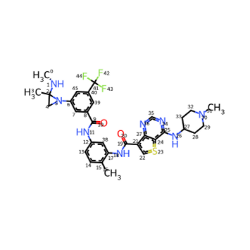 CNC1(C)CN1c1cc(C(=O)Nc2ccc(C)c(NC(=O)c3csc4c(NC5CCN(C)CC5)ncnc34)c2)cc(C(F)(F)F)c1